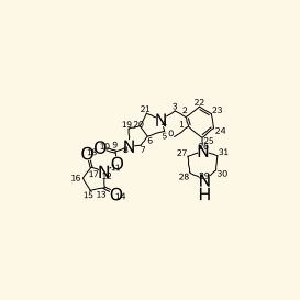 Cc1c(CN2CC3CN(C(=O)ON4C(=O)CCC4=O)CC3C2)cccc1N1CCNCC1